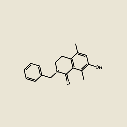 Cc1cc(O)c(C)c2c1CCN(Cc1ccccc1)C2=O